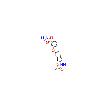 CC(C)S(=O)(=O)NC1C=C2CC=C(Oc3cccc(S(N)(=O)=O)c3)C=C2C1